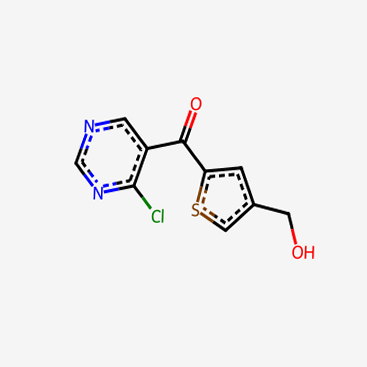 O=C(c1cc(CO)cs1)c1cncnc1Cl